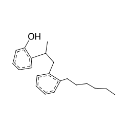 CCCCCCc1ccccc1CC(C)c1ccccc1O